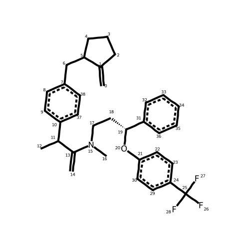 C=C1CCCC1Cc1ccc(C(C)C(=C)N(C)CC[C@@H](Oc2ccc(C(F)(F)F)cc2)c2ccccc2)cc1